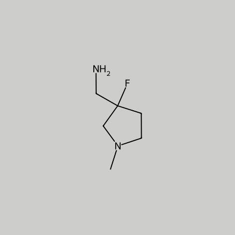 CN1CCC(F)(CN)C1